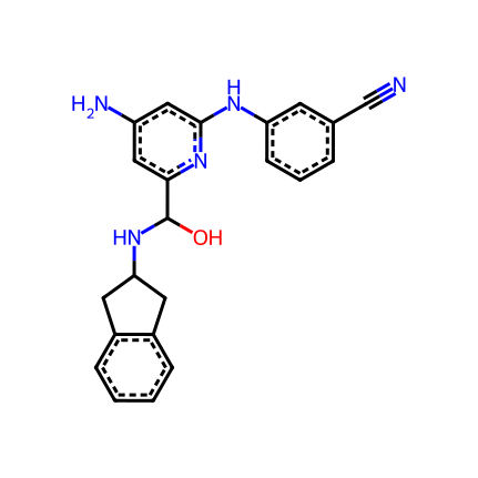 N#Cc1cccc(Nc2cc(N)cc(C(O)NC3Cc4ccccc4C3)n2)c1